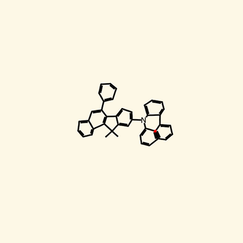 CC1(C)c2cc(N(c3ccccc3)c3ccccc3-c3ccccc3)ccc2-c2c(-c3ccccc3)cc3ccccc3c21